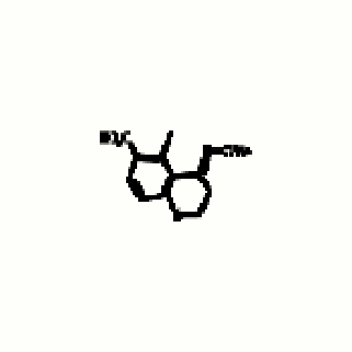 CON=C1CCSc2ccc(C(=O)O)c(C)c21